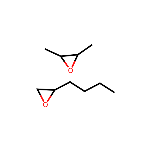 CC1OC1C.CCCCC1CO1